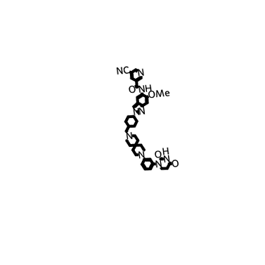 COc1cc2nn(C3CCC(CN4CCC5(CC4)CCN(c4cccc(N6CCC(=O)NC6=O)c4)CC5)CC3)cc2cc1NC(=O)c1cncc(C#N)c1